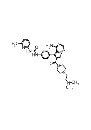 CN(C)CCN1CCN(C(=O)c2cn3ncnc(N)c3c2-c2ccc(NC(=O)Nc3cccc(C(F)(F)F)n3)cc2)CC1